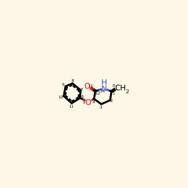 C=C1CCC(Oc2ccccc2)C(=O)N1